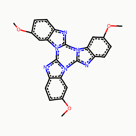 COc1ccc2nc3n(c2c1)c1nc2ccc(OC)cc2n1c1nc2ccc(OC)cc2n31